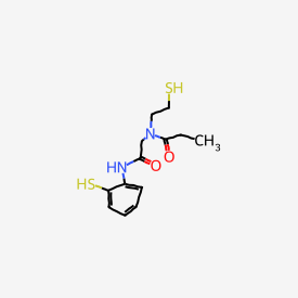 CCC(=O)N(CCS)CC(=O)Nc1ccccc1S